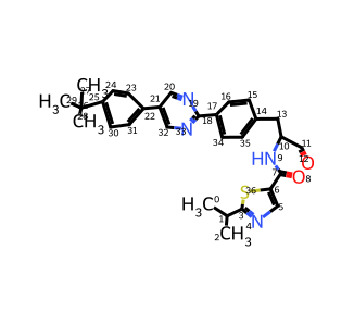 CC(C)c1ncc(C(=O)NC(C=O)Cc2ccc(-c3ncc(-c4ccc(C(C)(C)C)cc4)cn3)cc2)s1